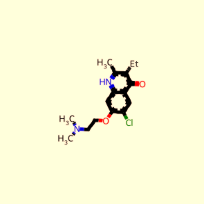 CCc1c(C)[nH]c2cc(OCCN(C)C)c(Cl)cc2c1=O